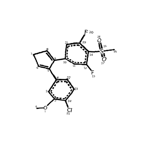 COc1cc(C2=CCC=C2c2cc(F)c(S(C)(=O)=O)c(F)c2)ccc1Cl